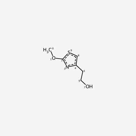 COc1nc(CCO)cs1